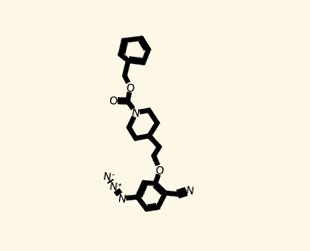 N#Cc1ccc(N=[N+]=[N-])cc1OCCC1CCN(C(=O)OCc2ccccc2)CC1